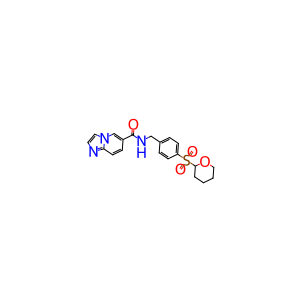 O=C(NCc1ccc(S(=O)(=O)C2CCCCO2)cc1)c1ccc2nccn2c1